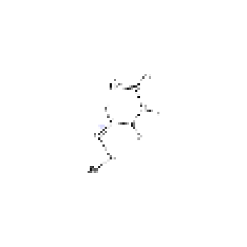 CC(=P)C(C)C(C)/C(C)=C\CC(C)(C)C